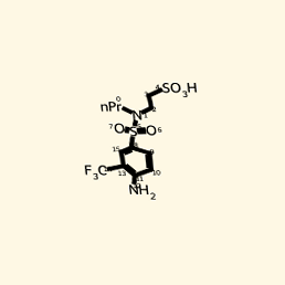 CCCN(CCS(=O)(=O)O)S(=O)(=O)c1ccc(N)c(C(F)(F)F)c1